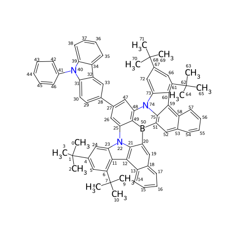 CC(C)(C)c1cc(C(C)(C)C)c2c3c4ccccc4cc4c3n(c2c1)-c1cc(-c2ccc3c(c2)c2ccccc2n3-c2ccccc2)cc2c1B4c1cc3ccccc3c3c4c(C(C)(C)C)cc(C(C)(C)C)cc4n-2c13